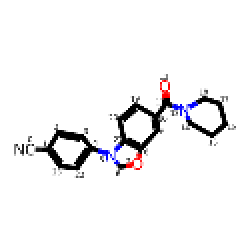 N#Cc1ccc(N2COc3cc(C(=O)N4CCCCC4)ccc32)cc1